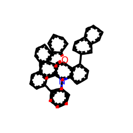 c1ccc(-c2ccccc2-c2c(-c3ccccc3)cccc2-c2ccccc2N(c2cccc(-c3ccc4ccccc4c3)c2)c2cccc3c2oc2ccccc23)cc1